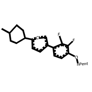 CCCCCOc1ccc(-c2ccc(C3CCC(C)CC3)cc2)c(F)c1F